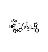 CC(C)(C)OC(=O)NC[C@H]1CCCN1c1ccc(C[C@H](NC(=O)OCC2c3ccccc3-c3ccccc32)C(=O)O)cc1